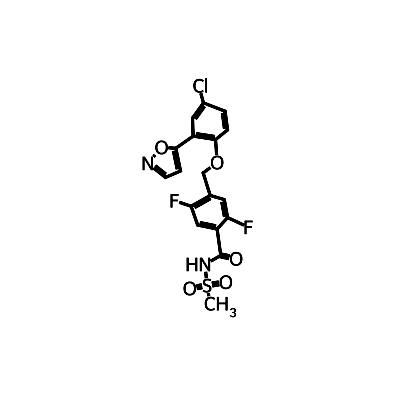 CS(=O)(=O)NC(=O)c1cc(F)c(COc2ccc(Cl)cc2-c2ccno2)cc1F